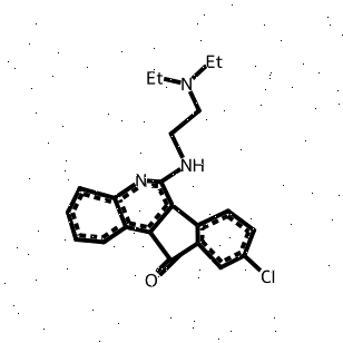 CCN(CC)CCNc1nc2ccccc2c2c1-c1ccc(Cl)cc1C2=O